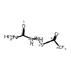 NC(=O)NNSC(=O)C(F)(F)F